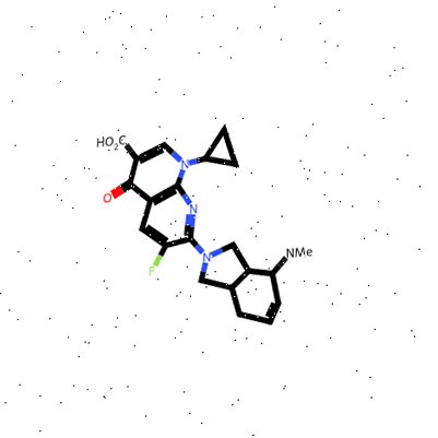 CNC1C=CCC2CN(c3nc4c(cc3F)c(=O)c(C(=O)O)cn4C3CC3)CC21